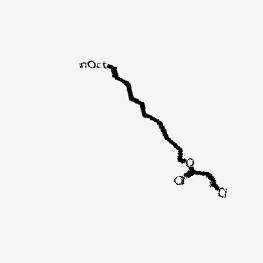 CCCCCCCCC=CCCCCCCCCOC(=O)CCCl